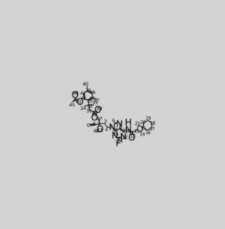 C#CC(CCn1cnc2c(NC(=O)C3CC4(CCCCC4)C3)nc(F)nc21)(COC(=O)CC(C)(C)c1c(C)cc(C)cc1OC(C)=O)OC